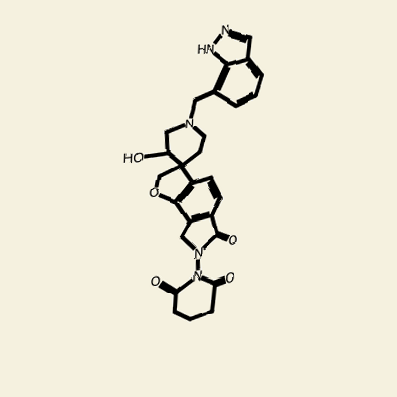 O=C1c2ccc3c(c2CN1N1C(=O)CCCC1=O)OCC31CCN(Cc2cccc3cn[nH]c23)CC1O